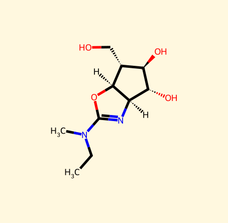 CCN(C)C1=N[C@@H]2[C@@H](O)[C@H](O)[C@@H](CO)[C@@H]2O1